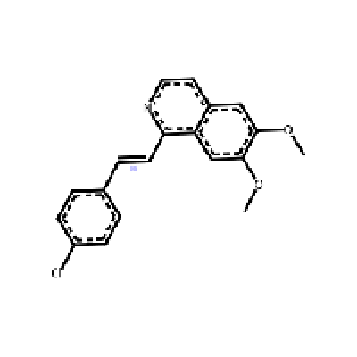 COc1cc2ccnc(/C=C/c3ccc(Cl)cc3)c2cc1OC